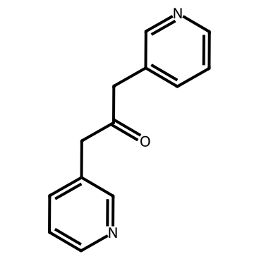 O=C(Cc1cccnc1)Cc1cccnc1